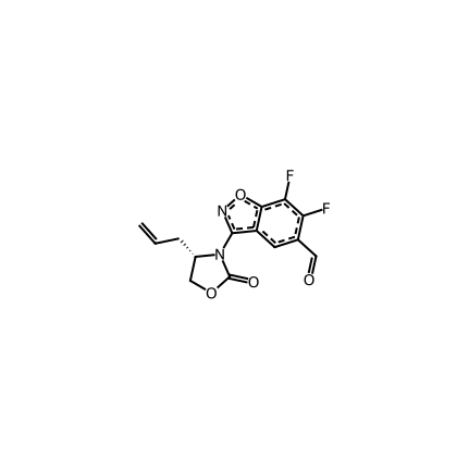 C=CC[C@H]1COC(=O)N1c1noc2c(F)c(F)c(C=O)cc12